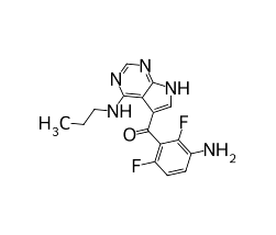 CCCNc1ncnc2[nH]cc(C(=O)c3c(F)ccc(N)c3F)c12